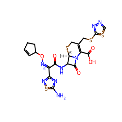 Nc1nc(/C(=N/OC2C=CCC2)C(=O)NC2C(=O)N3C(C(=O)O)=C(CSc4nncs4)CS[C@H]23)ns1